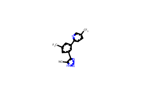 N#Cc1[nH]nnc1-c1cc(-c2ccc(C(F)(F)F)cn2)cc(C(F)(F)F)c1